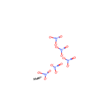 O=[N+]([O-])[O-].O=[N+]([O-])[O-].O=[N+]([O-])[O-].O=[N+]([O-])[O-].O=[N+]([O-])[O-].[Al+3].[Mn+2]